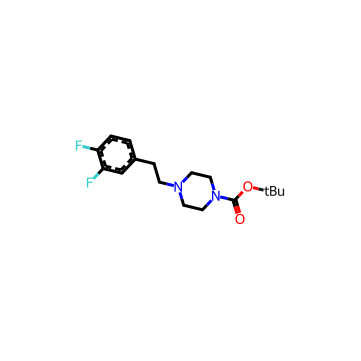 CC(C)(C)OC(=O)N1CCN(CCc2ccc(F)c(F)c2)CC1